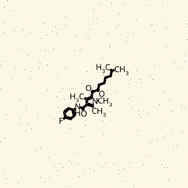 Cc1c(C(=O)Nc2ccc(F)cc2)c(C)n(C)c1C(=O)C(=O)CCCCC(C)C